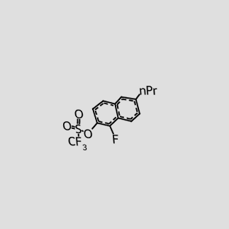 CCCc1ccc2c(F)c(OS(=O)(=O)C(F)(F)F)ccc2c1